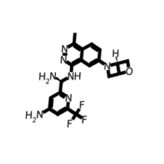 Cc1nnc(N[C@H](N)c2cc(N)cc(C(F)(F)F)n2)c2cc(N3CC4OC[C@@H]43)ccc12